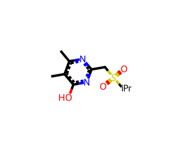 Cc1nc(CS(=O)(=O)C(C)C)nc(O)c1C